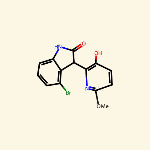 COc1ccc(O)c(C2C(=O)Nc3cccc(Br)c32)n1